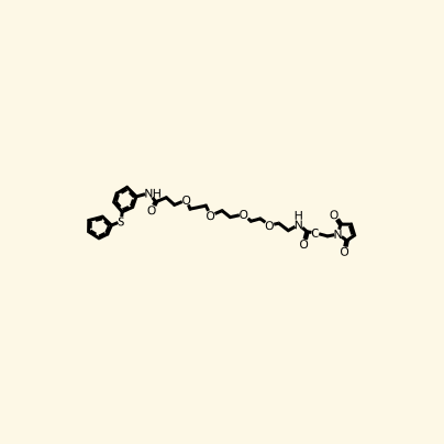 O=C(CCN1C(=O)C=CC1=O)NCCOCCOCCOCCOCCC(=O)Nc1cccc(Sc2ccccc2)c1